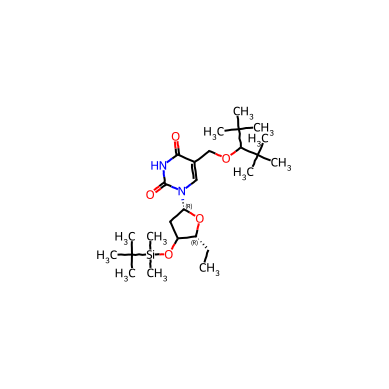 CC[C@H]1O[C@@H](n2cc(COC(C(C)(C)C)C(C)(C)C)c(=O)[nH]c2=O)CC1O[Si](C)(C)C(C)(C)C